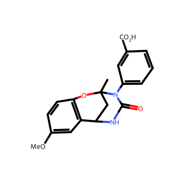 COc1ccc2c(c1)C1CC(C)(O2)N(c2cccc(C(=O)O)c2)C(=O)N1